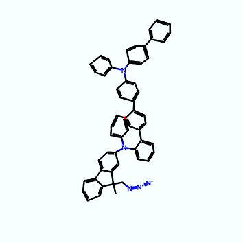 CC1(CN=[N+]=[N-])c2ccccc2-c2ccc(N(c3ccccc3)c3ccccc3-c3ccc(-c4ccc(N(c5ccccc5)c5ccc(-c6ccccc6)cc5)cc4)cc3)cc21